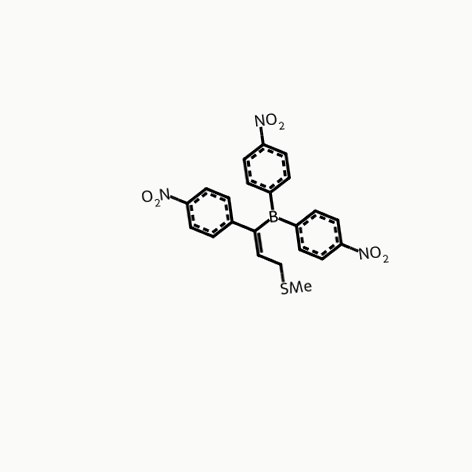 CSC/C=C(\B(c1ccc([N+](=O)[O-])cc1)c1ccc([N+](=O)[O-])cc1)c1ccc([N+](=O)[O-])cc1